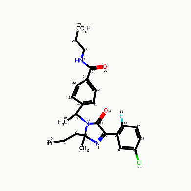 CC(C)CCC1(C)N=C(c2cc(Cl)ccc2F)C(=O)N1C(C)c1ccc(C(=O)NCCC(=O)O)cc1